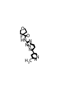 Cc1cc(-c2ccc3nc(NC(=O)C4(F)CCOCC4)nn3n2)cnn1